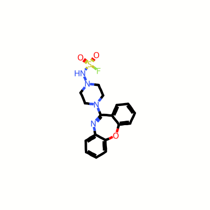 O=S(=O)(F)NN1CCN(C2=Nc3ccccc3Oc3ccccc32)CC1